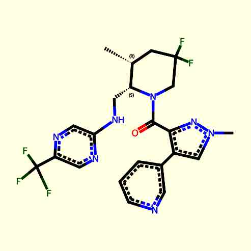 C[C@@H]1CC(F)(F)CN(C(=O)c2nn(C)cc2-c2cccnc2)[C@@H]1CNc1cnc(C(F)(F)F)cn1